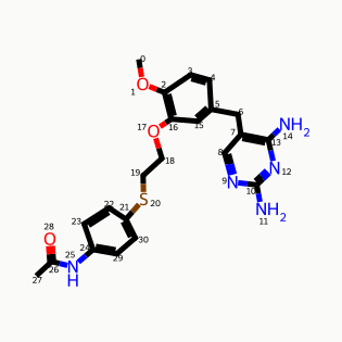 COc1ccc(Cc2cnc(N)nc2N)cc1OCCSc1ccc(NC(C)=O)cc1